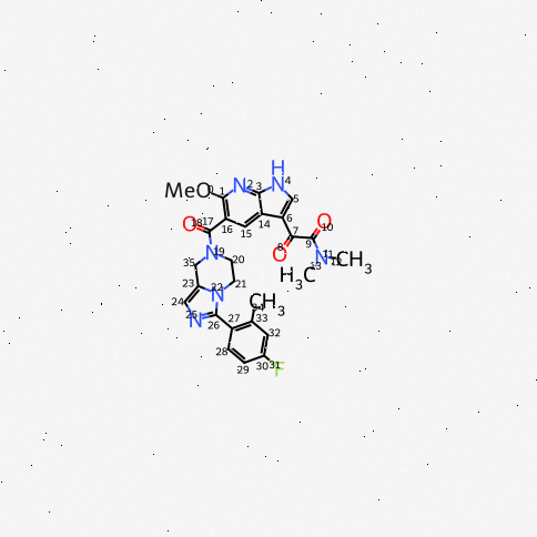 COc1nc2[nH]cc(C(=O)C(=O)N(C)C)c2cc1C(=O)N1CCn2c(cnc2-c2ccc(F)cc2C)C1